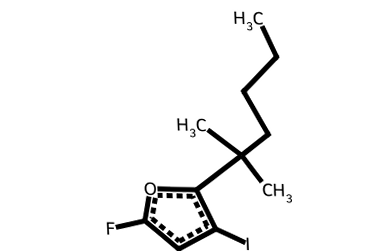 CCCCC(C)(C)c1oc(F)cc1I